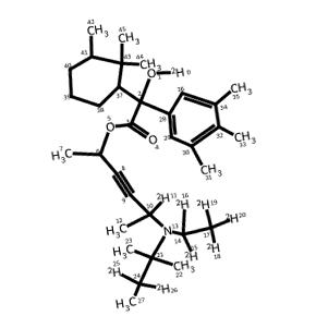 [2H]OC(C(=O)OC(C)C#CC([2H])(C)N(C([2H])([2H])C([2H])([2H])[2H])C(C)(C)C([2H])([2H])C)(c1cc(C)c(C)c(C)c1)C1CCCC(C)C1(C)C